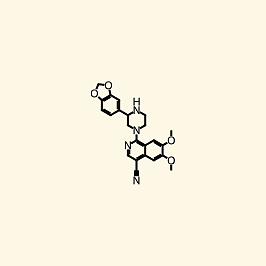 COc1cc2c(C#N)cnc(N3CCNC(c4ccc5c(c4)OCO5)C3)c2cc1OC